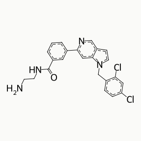 NCCNC(=O)c1cccc(-c2cc3c(ccn3Cc3ccc(Cl)cc3Cl)cn2)c1